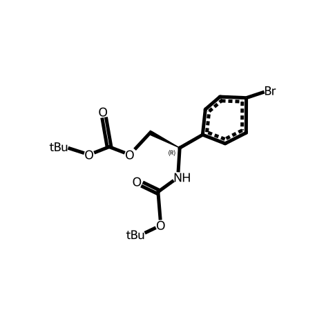 CC(C)(C)OC(=O)N[C@@H](COC(=O)OC(C)(C)C)c1ccc(Br)cc1